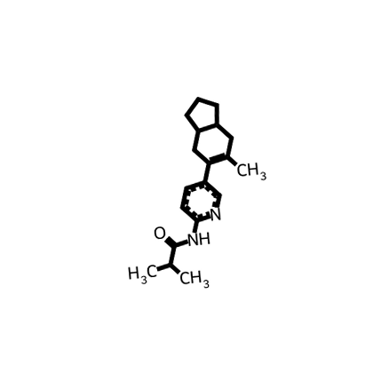 CC1=C(c2ccc(NC(=O)C(C)C)nc2)CC2CCCC2C1